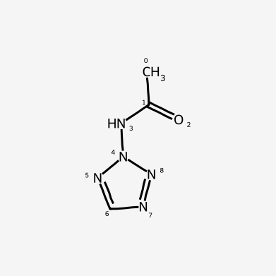 CC(=O)Nn1ncnn1